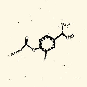 CC(=O)NC(=O)Oc1ccc(C([C]=O)S(=O)(=O)O)cc1F